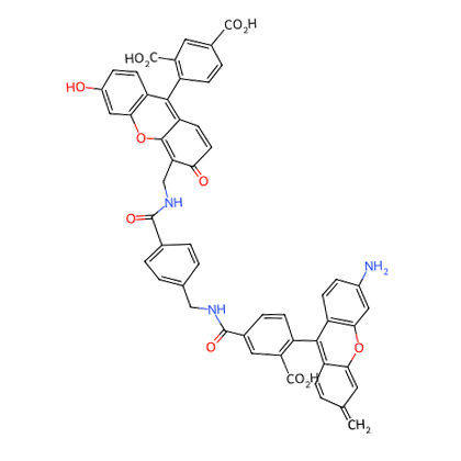 C=c1ccc2c(c1)Oc1cc(N)ccc1C=2c1ccc(C(=O)NCc2ccc(C(=O)NCc3c4oc5cc(O)ccc5c(-c5ccc(C(=O)O)cc5C(=O)O)c-4ccc3=O)cc2)cc1C(=O)O